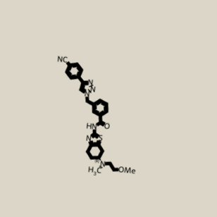 COCCN(C)[C@@H]1CCc2nc(NC(=O)c3cccc(Cn4cc(-c5ccc(C#N)cc5)nn4)c3)sc2C1